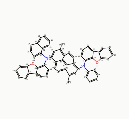 CC(C)c1cc(N(c2ccccc2)c2cccc3c2oc2ccccc23)c2ccc3c(C(C)C)cc(N(c4cccc5ccccc45)c4cccc5c4oc4ccccc45)c4ccc1c2c34